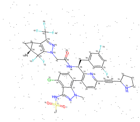 Cn1nc(NS(C)(=O)=O)c2c(Cl)ccc(-c3ccc(C#CC4CCCN4)nc3[C@H](Cc3cc(F)cc(F)c3)NC(=O)Cn3nc(C(F)(F)F)c4c3C(F)(F)[C@@H]3CC43)c21